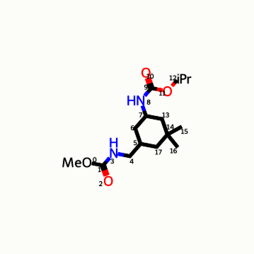 COC(=O)NCC1CC(NC(=O)OC(C)C)CC(C)(C)C1